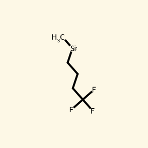 C[Si]CCCC(F)(F)F